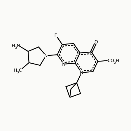 CC1CN(c2nc3c(cc2F)c(=O)c(C(=O)O)cn3C23CC(C2)C3)CC1N